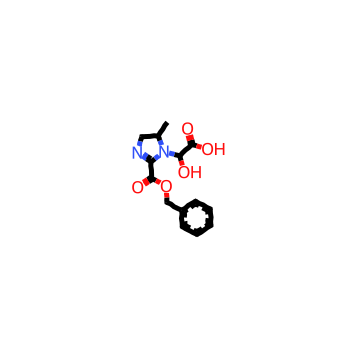 CC1CN=C(C(=O)OCc2ccccc2)N1C(O)C(=O)O